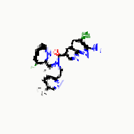 C[C@H](c1ncccc1F)N(Cc1ccc(C(F)(F)F)cn1)C(=O)c1cnc2nc(N)c(Br)cc2c1